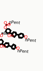 CCCCCOC(=O)OC1CCC(O)(c2ccc(-c3ccc(OCCCCC)cc3)cc2)CC1.CCCCCOc1ccc(-c2ccc(C3(O)CCC(OC(=O)OCCCC)CC3)cc2)cc1